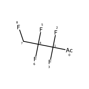 CC(=O)C(F)(F)C(F)(F)CF